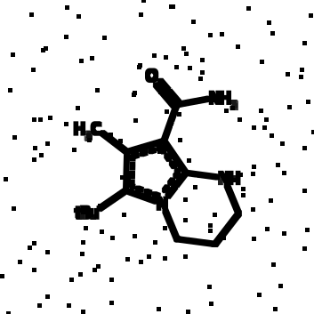 Cc1c(C(N)=O)c2n(c1C(C)(C)C)CCCN2